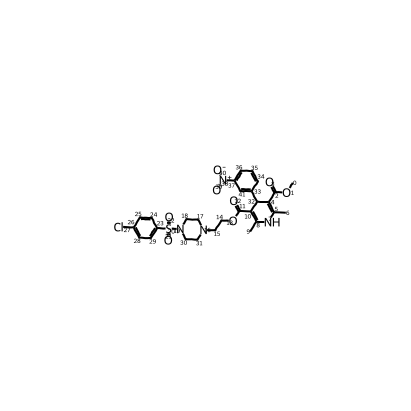 COC(=O)C1=C(C)NC(C)=C(C(=O)OCCN2CCN(S(=O)(=O)c3ccc(Cl)cc3)CC2)C1c1cccc([N+](=O)[O-])c1